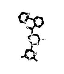 Cc1cc(N2CCN(C(=O)c3ccccc3-c3ncccn3)C[C@H](C)O2)nc(C)n1